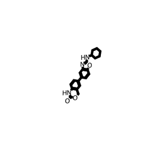 O=C1Nc2ccc(-c3ccc4oc(NC5CCCCC5)nc4c3)cc2CO1